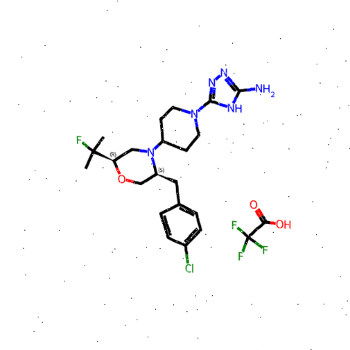 CC(C)(F)[C@H]1CN(C2CCN(c3nnc(N)[nH]3)CC2)[C@@H](Cc2ccc(Cl)cc2)CO1.O=C(O)C(F)(F)F